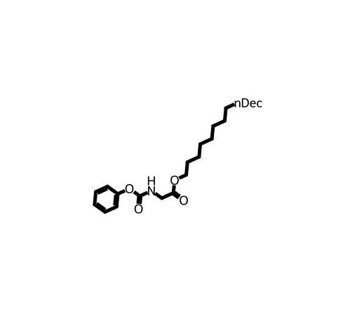 CCCCCCCCCCCCCCCCCCOC(=O)CNC(=O)Oc1ccccc1